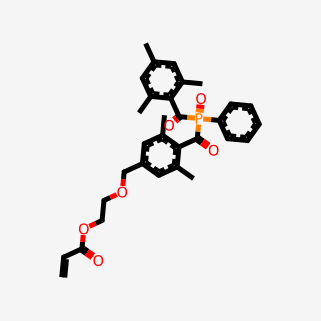 C=CC(=O)OCCOCc1cc(C)c(C(=O)P(=O)(C(=O)c2c(C)cc(C)cc2C)c2ccccc2)c(C)c1